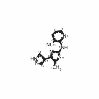 Cc1sc(Nc2ncccc2C#N)nc1-c1cn[nH]c1